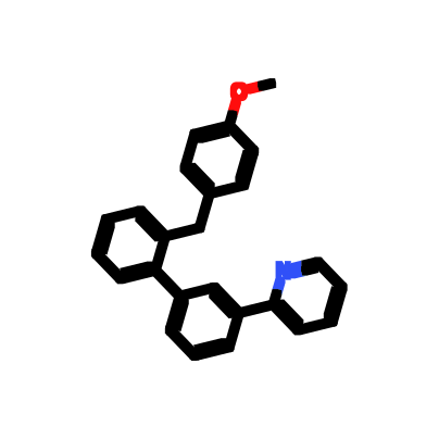 COc1ccc(Cc2ccccc2-c2cccc(-c3ccccn3)c2)cc1